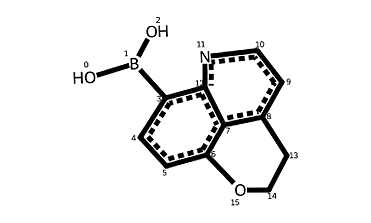 OB(O)c1ccc2c3c(ccnc13)CCO2